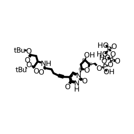 CC(C)(C)OC(=O)CC(NC(=O)CCC#Cc1cn([C@H]2C[C@@H](O)[C@@H](COP(=O)(O)OP(=O)(O)OP(=O)(O)O)O2)c(=O)[nH]c1=O)C(=O)OC(C)(C)C